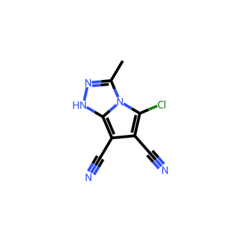 Cc1n[nH]c2c(C#N)c(C#N)c(Cl)n12